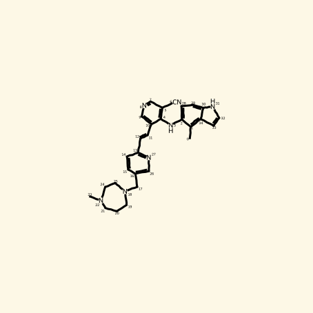 Cc1c(Nc2c(C#N)cncc2/C=C/c2ccc(CN3CCCN(C)CC3)cn2)ccc2[nH]ccc12